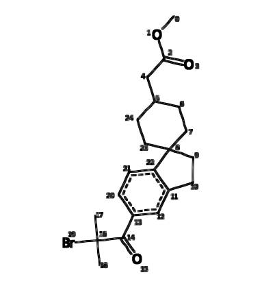 COC(=O)CC1CCC2(CCc3cc(C(=O)C(C)(C)Br)ccc32)CC1